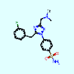 CCN(C)Cc1nc(Cc2cccc(F)c2)n(-c2ccc(S(N)(=O)=O)cc2)n1